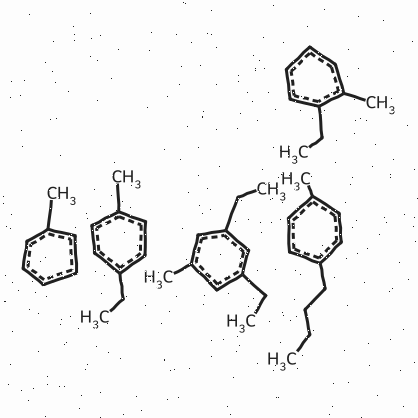 CCCCc1ccc(C)cc1.CCc1cc(C)cc(CC)c1.CCc1ccc(C)cc1.CCc1ccccc1C.Cc1ccccc1